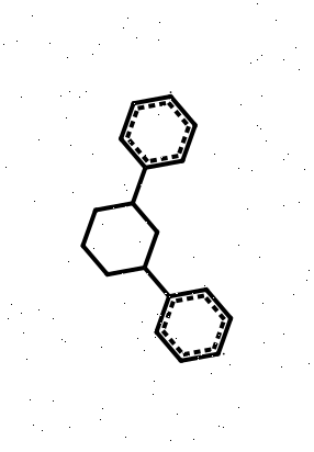 [c]1ccc(C2CCCC(c3cc[c]cc3)C2)cc1